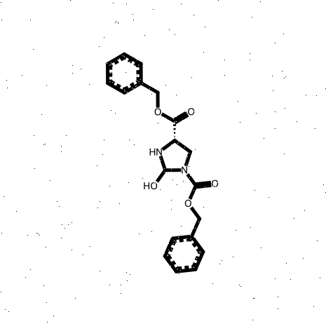 O=C(OCc1ccccc1)[C@@H]1CN(C(=O)OCc2ccccc2)C(O)N1